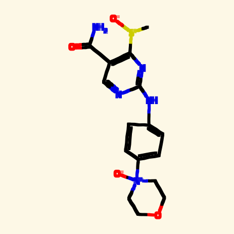 C[S+]([O-])c1nc(Nc2ccc([N+]3([O-])CCOCC3)cc2)ncc1C(N)=O